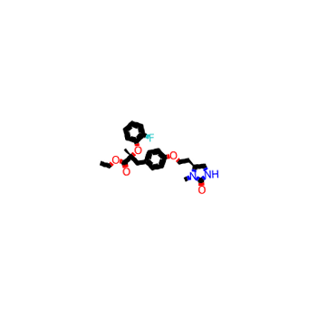 CCOC(=O)[C@@](C)(Cc1ccc(OCC[C@H]2CNC(=O)N2C)cc1)Oc1ccccc1F